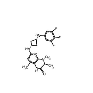 Cc1nc(N[C@H]2C[C@@H](Nc3cc(F)c(F)c(F)c3)C2)nc2c1NC(=O)[C@H](C)N2C